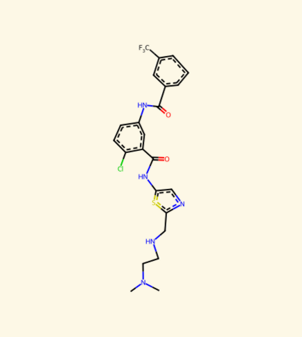 CN(C)CCNCc1ncc(NC(=O)c2cc(NC(=O)c3cccc(C(F)(F)F)c3)ccc2Cl)s1